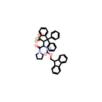 O=C(NC(C(=O)N1CCCC1)C(C(=O)O)C(c1ccccc1)(c1ccccc1)c1ccccc1Cl)OCC1c2ccccc2-c2ccccc21